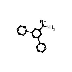 N=C(N)c1cc(-c2ccccc2)cc(-c2ccccc2)c1